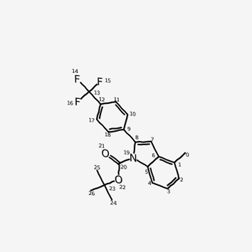 Cc1cccc2c1cc(-c1ccc(C(F)(F)F)cc1)n2C(=O)OC(C)(C)C